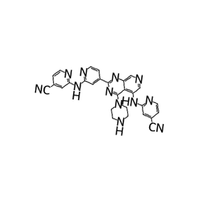 N#Cc1ccnc(Nc2cc(-c3nc(N4CCNCC4)c4c(Nc5cc(C#N)ccn5)cncc4n3)ccn2)c1